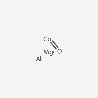 [Al].[Mg].[O]=[Co]